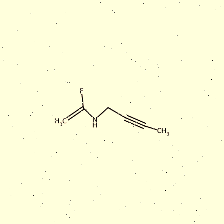 C=C(F)NCC#CC